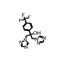 OC(Cn1cncn1)(Cn1cncn1)c1ccc(C(F)(F)F)cc1